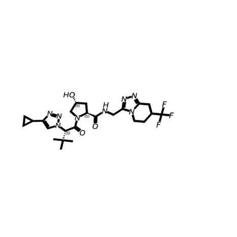 CC(C)(C)[C@@H](C(=O)N1C[C@H](O)C[C@H]1C(=O)NCc1nnc2n1CCC(C(F)(F)F)C2)n1cc(C2CC2)nn1